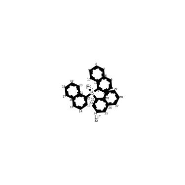 F[B-](c1cccc2ccccc12)(c1cccc2ccccc12)c1cccc2ccccc12.[Li+]